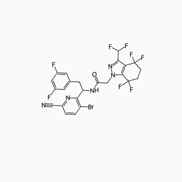 N#Cc1ccc(Br)c(C(Cc2cc(F)cc(F)c2)NC(=O)Cn2nc(C(F)F)c3c2C(F)(F)CCC3(F)F)n1